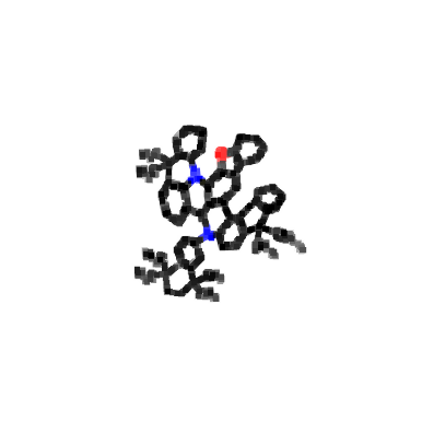 CC1(C)CCC(C)(C)c2cc(N3B4c5cccc6c5N(c5ccccc5C6(C)C)c5c4c(cc4c5oc5ccccc54)-c4c3ccc3c4-c4ccccc4C3(C)C)ccc21